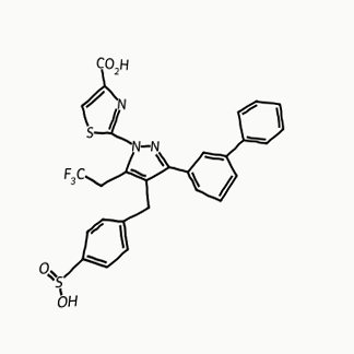 O=C(O)c1csc(-n2nc(-c3cccc(-c4ccccc4)c3)c(Cc3ccc(S(=O)O)cc3)c2CC(F)(F)F)n1